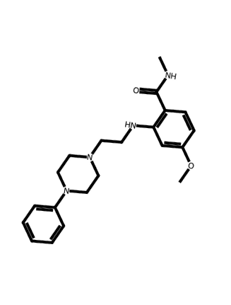 CNC(=O)c1ccc(OC)cc1NCCN1CCN(c2ccccc2)CC1